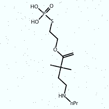 C=C(OCCSP(=O)(O)O)C(C)(C)CCNCCC